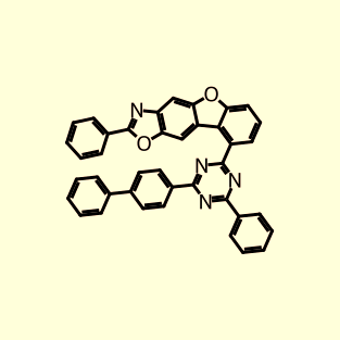 c1ccc(-c2ccc(-c3nc(-c4ccccc4)nc(-c4cccc5oc6cc7nc(-c8ccccc8)oc7cc6c45)n3)cc2)cc1